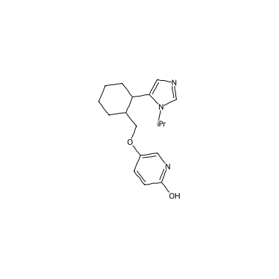 CC(C)n1cncc1C1CCCCC1COc1ccc(O)nc1